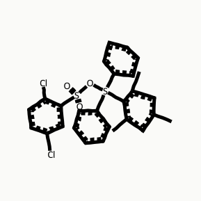 Cc1cc(C)c(S(OS(=O)(=O)c2cc(Cl)ccc2Cl)(c2ccccc2)c2ccccc2)c(C)c1